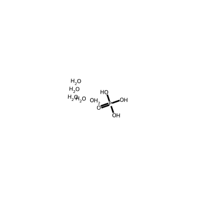 O.O.O.O.O.O=P(O)(O)O